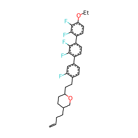 C=CCCC1CCC(CCc2ccc(-c3ccc(-c4ccc(OCC)c(F)c4F)c(F)c3F)cc2F)OC1